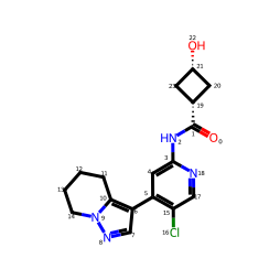 O=C(Nc1cc(-c2cnn3c2CCCC3)c(Cl)cn1)[C@H]1C[C@@H](O)C1